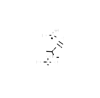 CC.CC.CSC(C)C.OP(O)(O)=S.OP(O)(O)=S